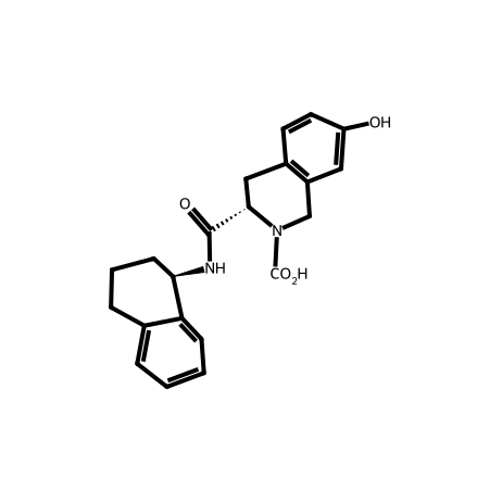 O=C(N[C@@H]1CCCc2ccccc21)[C@@H]1Cc2ccc(O)cc2CN1C(=O)O